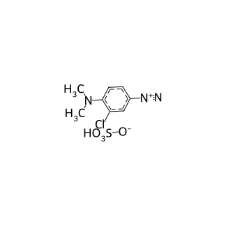 CN(C)c1ccc([N+]#N)cc1Cl.O=S(=O)([O-])O